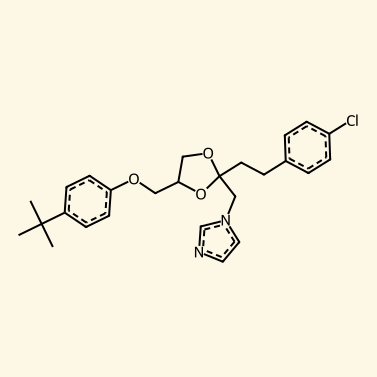 CC(C)(C)c1ccc(OCC2COC(CCc3ccc(Cl)cc3)(Cn3ccnc3)O2)cc1